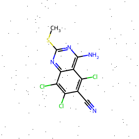 CSc1nc(N)c2c(Cl)c(C#N)c(Cl)c(Cl)c2n1